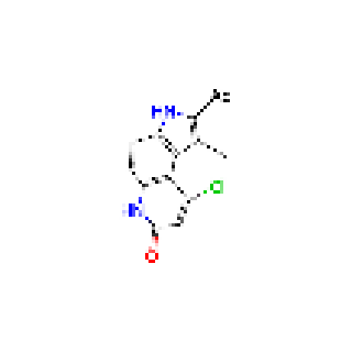 CC(=O)c1[nH]c2ccc3[nH]c(=O)cc(Cl)c3c2c1C